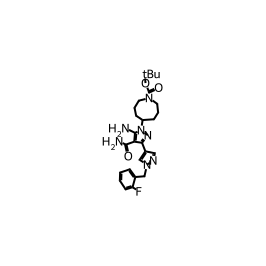 CC(C)(C)OC(=O)N1CCCC(n2nc(-c3cnn(Cc4ccccc4F)c3)c(C(N)=O)c2N)CCC1